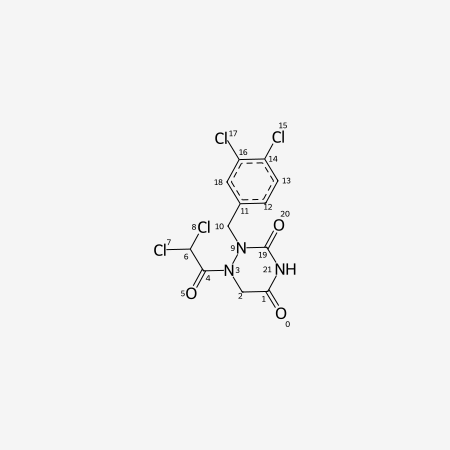 O=C1CN(C(=O)C(Cl)Cl)N(Cc2ccc(Cl)c(Cl)c2)C(=O)N1